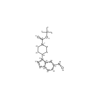 CC(C)(C)OC(=O)N1CCC(n2ncc3ccc(N=O)cc32)CC1